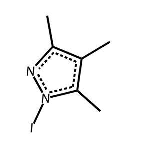 Cc1nn(I)c(C)c1C